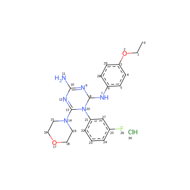 CCOc1ccc(NC2N=C(N)N=C(N3CCOCC3)N2c2cccc(F)c2)cc1.Cl